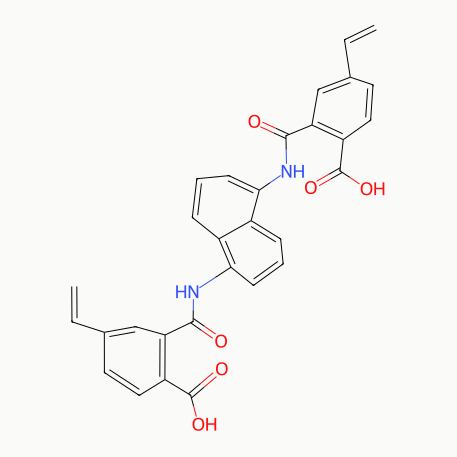 C=Cc1ccc(C(=O)O)c(C(=O)Nc2cccc3c(NC(=O)c4cc(C=C)ccc4C(=O)O)cccc23)c1